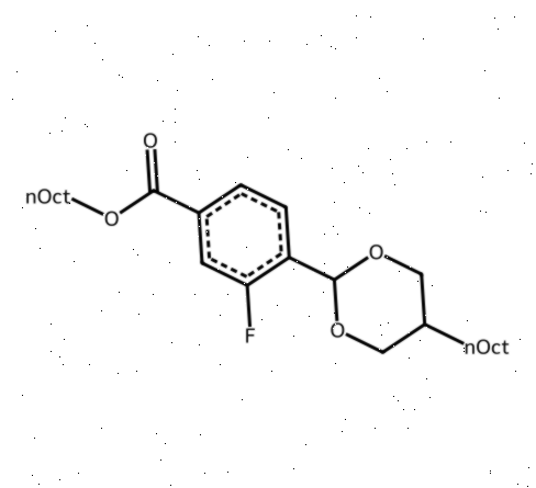 CCCCCCCCOC(=O)c1ccc(C2OCC(CCCCCCCC)CO2)c(F)c1